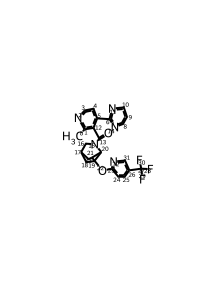 Cc1nccc(-c2ncccn2)c1C(=O)N1CC2CCC1C(Oc1ccc(C(F)(F)F)cn1)C2